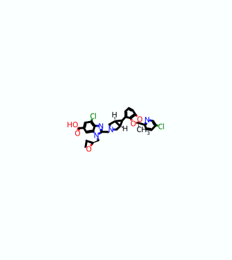 C[C@@]1(c2ccc(Cl)cn2)Oc2cccc(C3[C@H]4CN(Cc5nc6c(Cl)cc(C(=O)O)cc6n5C[C@@H]5CCO5)C[C@@H]34)c2O1